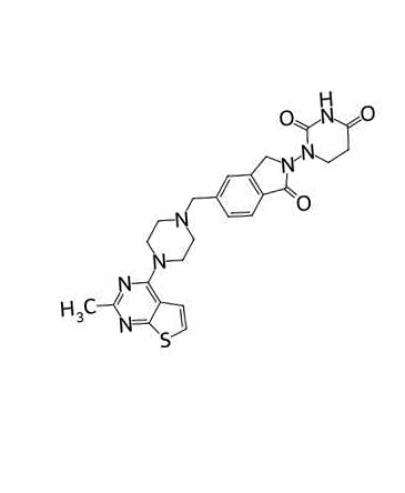 Cc1nc(N2CCN(Cc3ccc4c(c3)CN(N3CCC(=O)NC3=O)C4=O)CC2)c2ccsc2n1